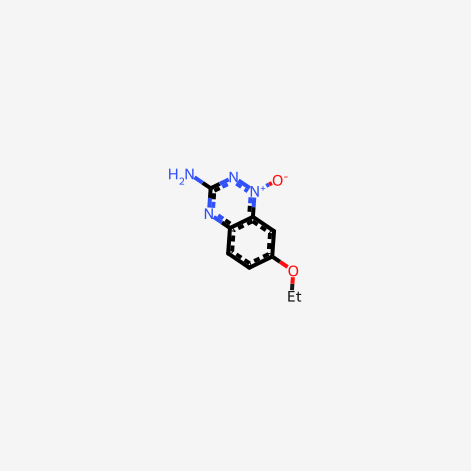 CCOc1ccc2nc(N)n[n+]([O-])c2c1